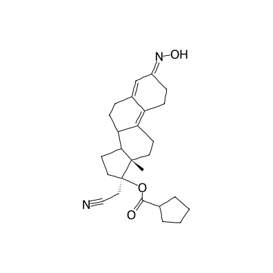 C[C@]12CCC3=C4CCC(=NO)C=C4CCC3C1CC[C@]2(CC#N)OC(=O)C1CCCC1